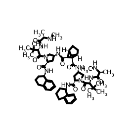 CN[C@@H](C)C(=O)N[C@H](C(=O)N1C[C@@H](NC(=O)[C@@H]2[C@@H]3CC[C@@H](C3)[C@@H]2C(=O)N[C@H]2C[C@@H](C(=O)N[C@@H]3CCCc4ccccc43)N(C(=O)[C@@H](NC(=O)[C@H](C)NC)C(C)(C)C)C2)C[C@H]1C(=O)N[C@@H]1CCCc2ccccc21)C(C)(C)C